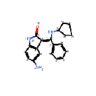 Nc1ccc2c(c1)/C(=C(/NC1CCCC1)c1ccccc1)C(=O)N2